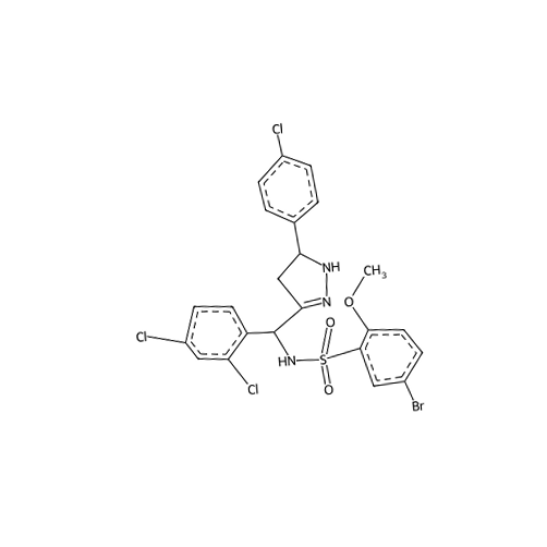 COc1ccc(Br)cc1S(=O)(=O)NC(C1=NNC(c2ccc(Cl)cc2)C1)c1ccc(Cl)cc1Cl